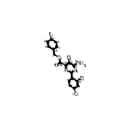 Nc1nc(-c2ccc(Cl)cc2Cl)nc(C(=O)OCc2ccc(F)cc2)c1Cl